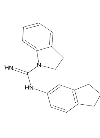 N=C(Nc1ccc2c(c1)CCC2)N1CCc2ccccc21